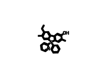 CCc1cc2c(cc1C)[Si](c1ccccc1)(c1ccccn1)c1cc(C)c(O)cc1-2